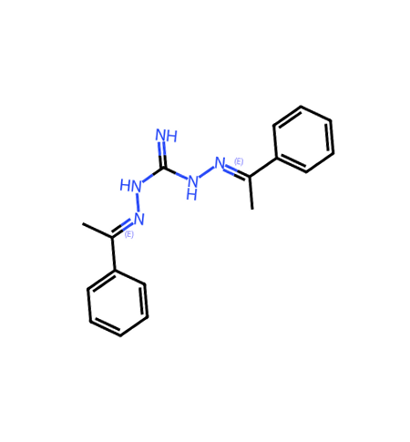 C/C(=N\NC(=N)N/N=C(\C)c1ccccc1)c1ccccc1